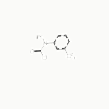 CC(C)N(C(=O)Cl)c1cccc(C(F)(F)F)c1